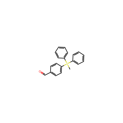 CS(c1ccccc1)(c1ccccc1)c1ccc(C=O)cc1